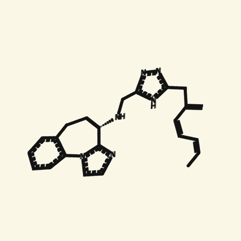 C=C(/C=C\C=C/C)Cc1nnc(CN[C@H]2CCc3ccccc3-n3ccnc32)[nH]1